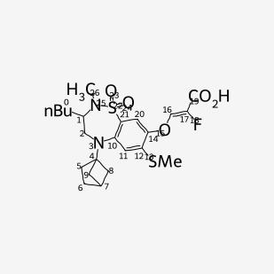 CCCCC1CN(C23CCC(C2)C3)c2cc(SC)c(O/C=C(\F)C(=O)O)cc2S(=O)(=O)N1C